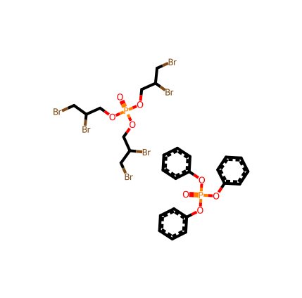 O=P(OCC(Br)CBr)(OCC(Br)CBr)OCC(Br)CBr.O=P(Oc1ccccc1)(Oc1ccccc1)Oc1ccccc1